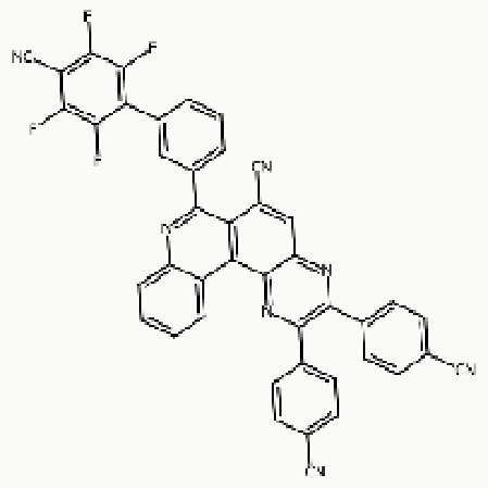 N#Cc1ccc(-c2nc3cc(C#N)c4c(-c5cccc(-c6c(F)c(F)c(C#N)c(F)c6F)c5)nc5ccccc5c4c3nc2-c2ccc(C#N)cc2)cc1